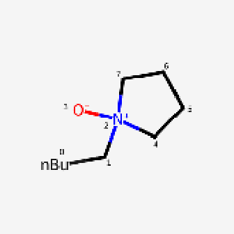 CCCCC[N+]1([O-])CCCC1